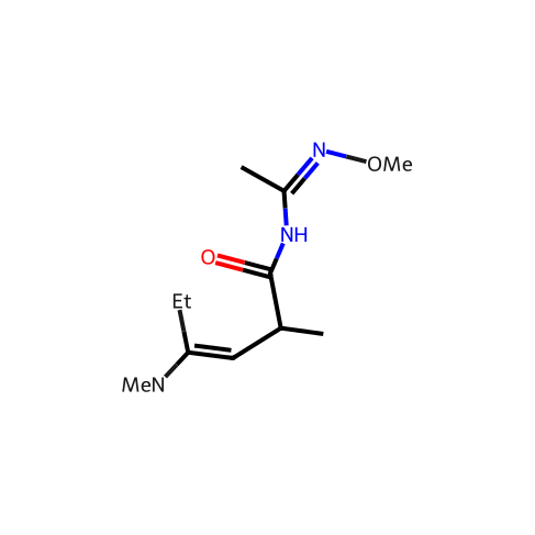 CC/C(=C\C(C)C(=O)N/C(C)=N\OC)NC